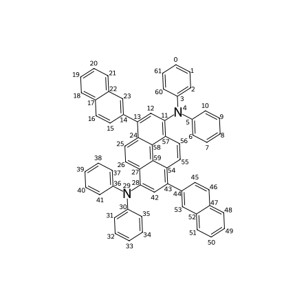 c1ccc(N(c2ccccc2)c2cc(-c3ccc4ccccc4c3)c3ccc4c(N(c5ccccc5)c5ccccc5)cc(-c5ccc6ccccc6c5)c5ccc2c3c54)cc1